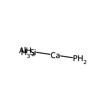 [AlH3].[SiH3][Ca][PH2]